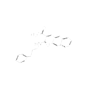 CC(=O)/C(=C/c1ccc2ccccc2c1)C(=O)NCCCc1ccccc1